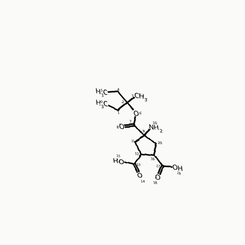 CCC(C)(CC)OC(=O)C1(N)CC(C(=O)O)C(C(=O)O)C1